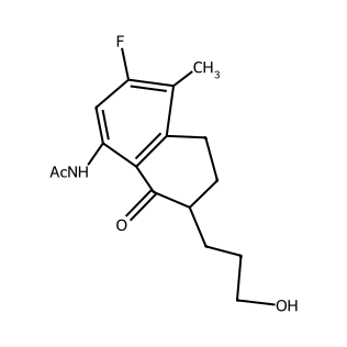 CC(=O)Nc1cc(F)c(C)c2c1C(=O)C(CCCO)CC2